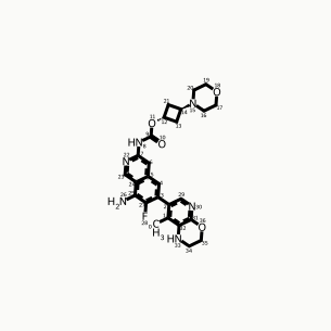 Cc1c(-c2cc3cc(NC(=O)O[C@H]4C[C@H](N5CCOCC5)C4)ncc3c(N)c2F)cnc2c1NCCO2